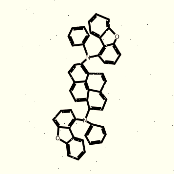 c1ccc(N(c2ccc3ccc4c(N(c5ccccc5)c5cccc6oc7ccccc7c56)ccc5ccc2c3c54)c2cccc3oc4ccccc4c23)cc1